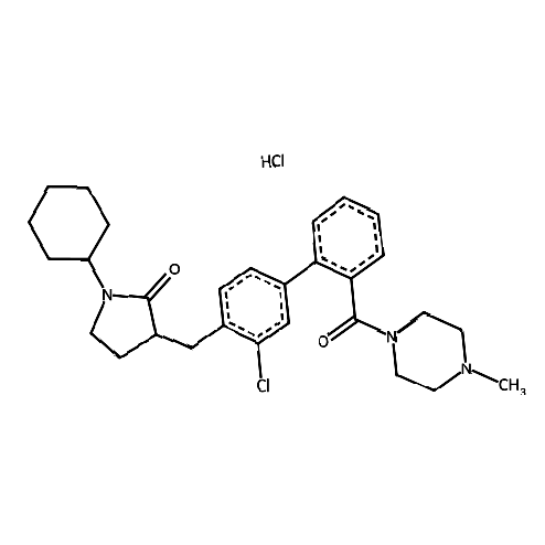 CN1CCN(C(=O)c2ccccc2-c2ccc(CC3CCN(C4CCCCC4)C3=O)c(Cl)c2)CC1.Cl